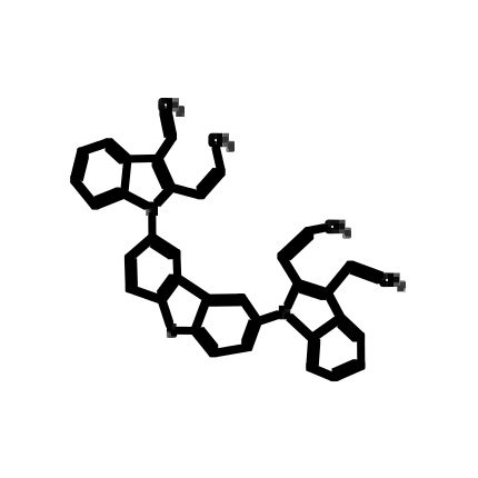 C=Cc1c(/C=C\C)n(-c2ccc3sc4ccc(-n5c(/C=C\C)c(C=C)c6ccccc65)cc4c3c2)c2ccccc12